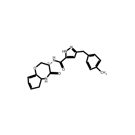 Cc1ccc(Cc2cc(C(=O)N[C@H]3COC4=CC=CCC4NC3=O)[nH]n2)cc1